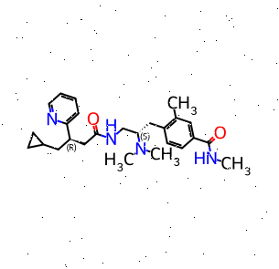 CNC(=O)c1ccc(C[C@@H](CNC(=O)C[C@@H](CC2CC2)c2ccccn2)N(C)C)c(C)c1